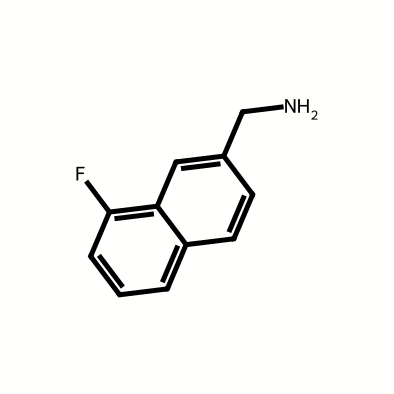 NCc1ccc2cccc(F)c2c1